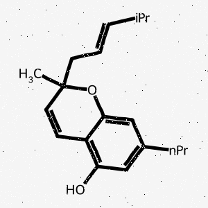 CCCc1cc(O)c2c(c1)OC(C)(CC=CC(C)C)C=C2